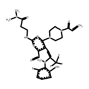 C=CC(=O)N1CCN(c2nc(NCCC(=O)N(C)C)nc(C=O)c2/C=C(\N(C)c2c(O)cccc2F)C(F)(F)F)CC1